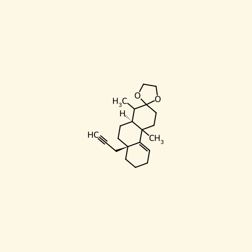 C#CC[C@]12CCCC=C1C1(C)CCC3(OCCO3)C(C)[C@@H]1CC2